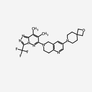 Cc1c(N2CCc3ncc(N4CCC5(CC4)COC5)cc3C2)nn2c(C(F)(F)F)nnc2c1C